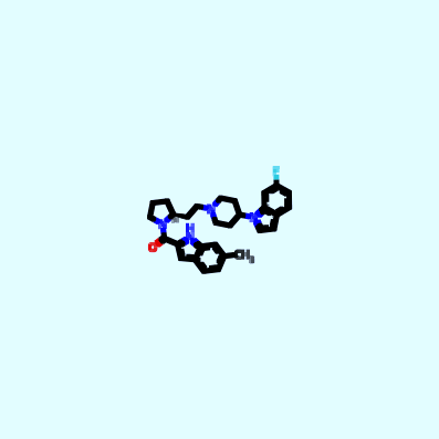 Cc1ccc2cc(C(=O)N3CCC[C@H]3CCN3CCC(n4ccc5ccc(F)cc54)CC3)[nH]c2c1